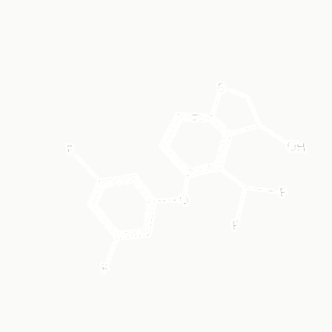 OC1CSc2ccc(Oc3cc(F)cc(F)c3)c(C(F)F)c21